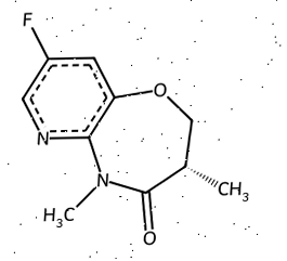 C[C@H]1COc2cc(F)cnc2N(C)C1=O